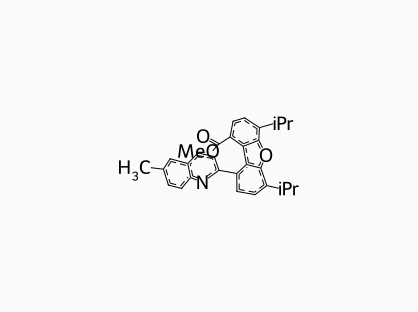 COC(=O)c1ccc(C(C)C)c2oc3c(C(C)C)ccc(-c4ccc5cc(C)ccc5n4)c3c12